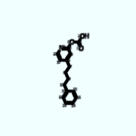 O=C(O)Oc1cc(CCCCc2ccccc2)ccn1